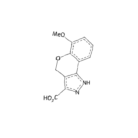 COc1cccc2c1OCc1c(C(=O)O)n[nH]c1-2